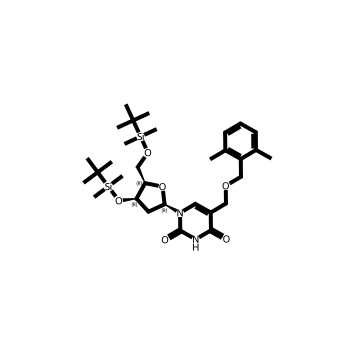 Cc1cccc(C)c1COCc1cn([C@H]2C[C@@H](O[Si](C)(C)C(C)(C)C)[C@@H](CO[Si](C)(C)C(C)(C)C)O2)c(=O)[nH]c1=O